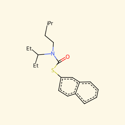 CCC(CC)N(CCC(C)C)C(=O)Sc1ccc2ccccc2c1